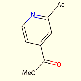 COC(=O)c1ccnc(C(C)=O)c1